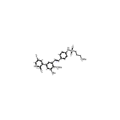 COCCCS(=O)(=O)Nc1ccc(/C=C/c2cc(-c3cc(F)c[nH]c3=O)cc(C(C)(C)C)c2OC)cc1